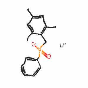 Cc1cc(C)c(CP(=O)([O-])c2ccccc2)c(C)c1.[Li+]